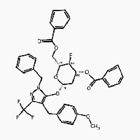 COc1ccc(Cc2c(C(F)(F)F)nn(Cc3ccccc3)c2O[C@H]2C[C@@H](OC(=O)c3ccccc3)[C@H](F)[C@@H](COC(=O)c3ccccc3)O2)cc1